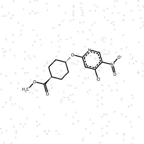 COC(=O)[C@H]1CC[C@H](Oc2cc(Cl)c([N+](=O)[O-])cn2)CC1